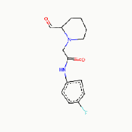 O=CC1CCCCN1CC(=O)Nc1ccc(F)cc1